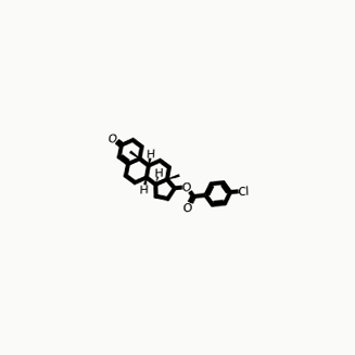 C[C@]12CCC(=O)C=C1CC[C@@H]1[C@H]2CC[C@]2(C)C(OC(=O)c3ccc(Cl)cc3)CC[C@@H]12